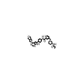 C=CC(=O)N[C@@H]1CCCN(Cc2ccnc(C(=O)Nc3ccc(-c4cc5c(N6CC7COCC7C6)ncnc5[nH]4)cc3)c2)C1